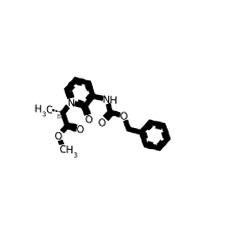 COC(=O)[C@H](C)n1cccc(NC(=O)OCc2ccccc2)c1=O